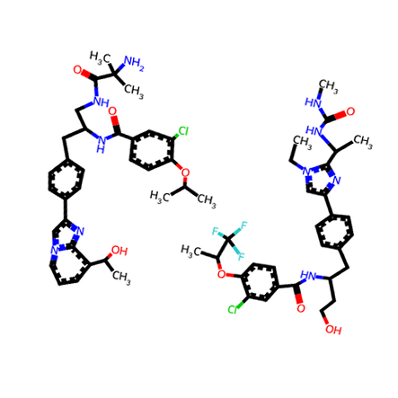 CC(C)Oc1ccc(C(=O)NC(CNC(=O)C(C)(C)N)Cc2ccc(-c3cn4cccc(C(C)O)c4n3)cc2)cc1Cl.CCn1cc(-c2ccc(CC(CCO)NC(=O)c3ccc(OC(C)C(F)(F)F)c(Cl)c3)cc2)nc1C(C)NC(=O)NC